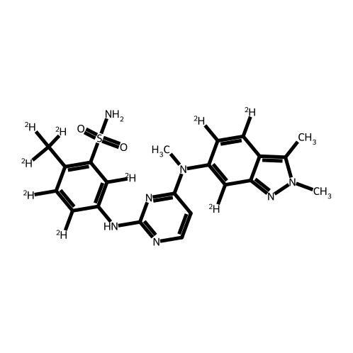 [2H]c1c([2H])c(C([2H])([2H])[2H])c(S(N)(=O)=O)c([2H])c1Nc1nccc(N(C)c2c([2H])c([2H])c3c(C)n(C)nc3c2[2H])n1